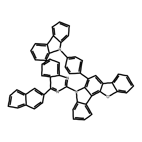 c1ccc2cc(-c3nc(-n4c5ccccc5c5c6oc7ccccc7c6cc(-c6ccc(-n7c8ccccc8c8ccccc87)cc6)c54)nc4ccccc34)ccc2c1